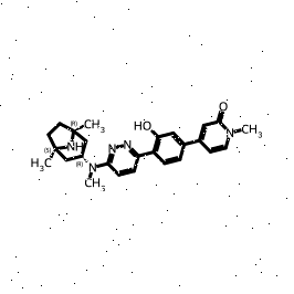 CN(c1ccc(-c2ccc(-c3ccn(C)c(=O)c3)cc2O)nn1)[C@@H]1C[C@]2(C)CC[C@](C)(C1)N2